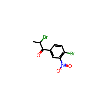 CC(Br)C(=O)c1ccc(Br)c([N+](=O)[O-])c1